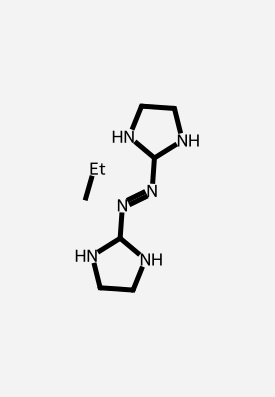 C1CNC(N=NC2NCCN2)N1.CCC